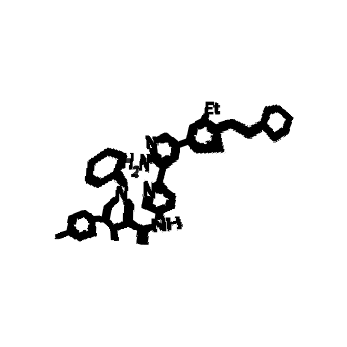 C=C(Nc1ccc(-c2cc(-c3ccc(CCC4CCCCC4)c(CC)c3)cnc2N)nc1)C1=CN(CC2CCCCC2)C=C(c2ccc(C)cc2)C1=C